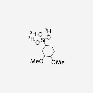 [3H]O[Si](O[3H])(O[3H])C1CCC(OC)C(OC)C1